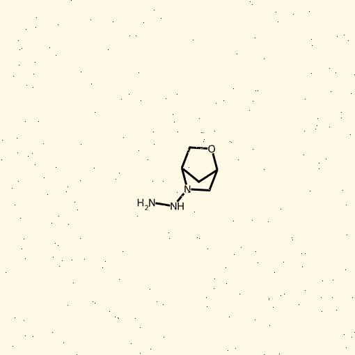 NNN1CC2CC1CO2